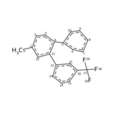 Cc1ccc(-c2ccccc2)c(-c2cccc(C(F)(F)F)c2)c1